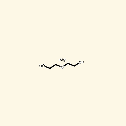 OCCOCCO.[Mg]